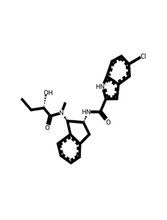 CC[C@H](O)C(=O)N(C)[C@H]1c2ccccc2C[C@H]1NC(=O)c1cc2cc(Cl)ccc2[nH]1